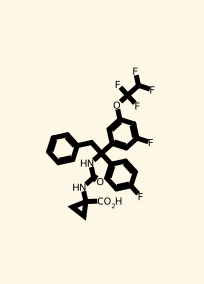 O=C(NC1(C(=O)O)CC1)NC(Cc1ccccc1)(c1ccc(F)cc1)c1cc(F)cc(OC(F)(F)C(F)F)c1